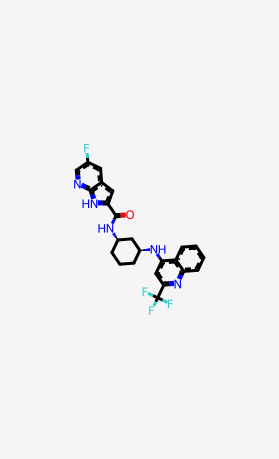 O=C(N[C@@H]1CCC[C@H](Nc2cc(C(F)(F)F)nc3ccccc23)C1)c1cc2cc(F)cnc2[nH]1